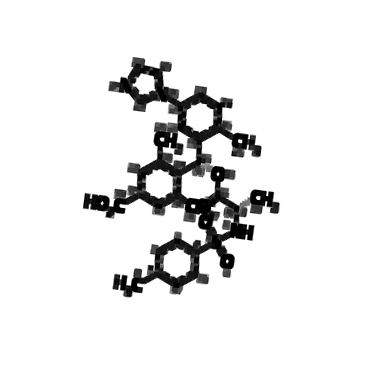 Cc1ccc(S(=O)(=O)N[C@@H](C)C(=O)O[C@@H](c2cc(-n3ccnc3)ccc2C)c2c(C)cc(C(=O)O)cc2C)cc1